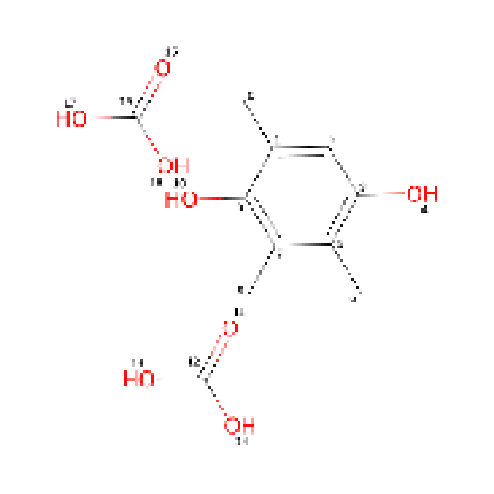 Cc1cc(O)c(C)c(C)c1O.O=C(O)O.O=C(O)O